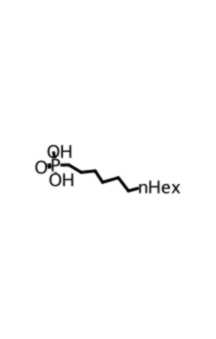 [CH2]CCCCCCCCCCCP(=O)(O)O